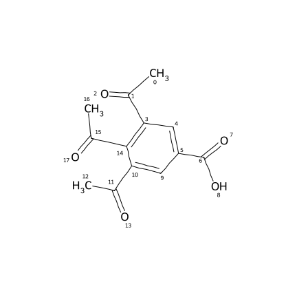 CC(=O)c1cc(C(=O)O)cc(C(C)=O)c1C(C)=O